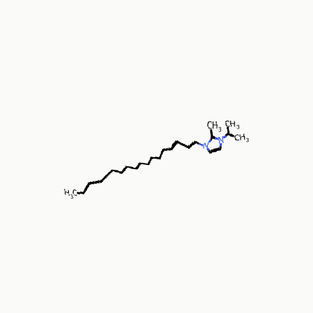 CCCCCCCCCCCCCCCCCN1C=CN(C(C)C)C1C